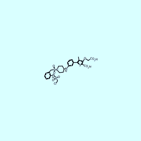 Cc1c(-c2cccc(NC3CCN(S(=O)(=O)Cc4ccccc4NS(=O)(=O)CCl)CC3)c2)sc(C(=O)O)c1OCC(=O)O